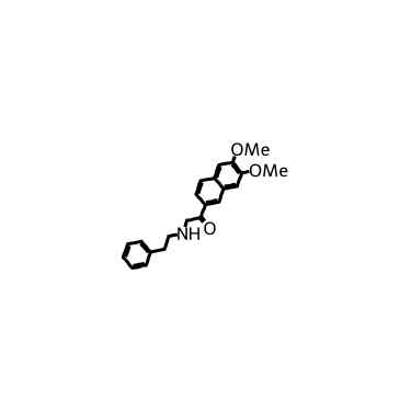 COc1cc2ccc(C(=O)CNCCc3ccccc3)cc2cc1OC